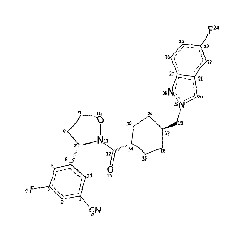 N#Cc1cc(F)cc([C@@H]2CCON2C(=O)[C@H]2CC[C@H](Cn3cc4cc(F)ccc4n3)CC2)c1